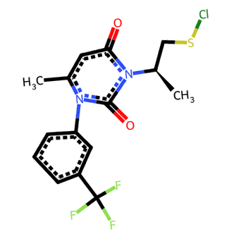 Cc1cc(=O)n([C@H](C)CSCl)c(=O)n1-c1cccc(C(F)(F)F)c1